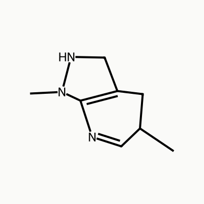 CC1C=NC2=C(CNN2C)C1